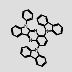 c1ccc(-n2c3ccccc3c3nc4c(-n5c6ccccc6c6ccccc65)ccc(-n5c6ccccc6c6ccccc65)c4nc32)cc1